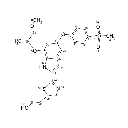 COCC(C)Oc1cc(Oc2ccc(S(C)(=O)=O)cc2)cc2cc(C3=NCC(CCO)S3)[nH]c12